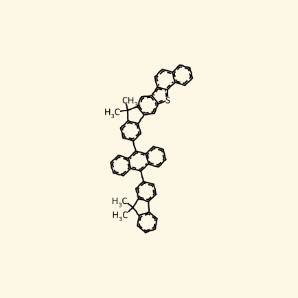 CC1(C)c2ccccc2-c2ccc(-c3c4ccccc4c(-c4ccc5c(c4)-c4cc6sc7c8ccccc8ccc7c6cc4C5(C)C)c4ccccc34)cc21